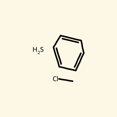 CCl.S.c1ccccc1